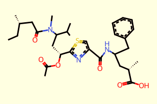 CC[C@H](C)CC(=O)N(C)C(C[C@@H](OC(C)=O)c1nc(C(=O)NC(Cc2ccccc2)C[C@H](C)C(=O)O)cs1)C(C)C